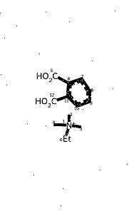 CC[N+](C)(C)C.O=C(O)c1ccccc1C(=O)O